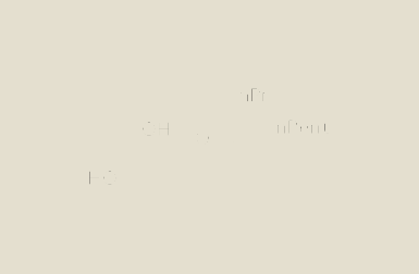 CCCCCC(CCC)COCC(O)CO